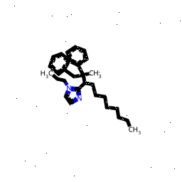 CCCCCCCCC(c1nccn1CCC)C(C)(Cc1ccccc1)c1ccccc1